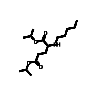 CCCCCNC(CCC(=O)OC(C)C)C(=O)OC(C)C